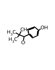 CC(C)(C)C([O])c1ccc(O)cc1